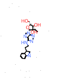 C=C[C@@]1(O)[C@H](O)[C@@H](CO)O[C@H]1n1cnc2c(NCCC3C=Nc4ccccc43)ncnc21